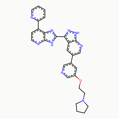 c1ccc(-c2ccnc3[nH]c(-c4n[nH]c5ncc(-c6cncc(OCCN7CCCC7)c6)cc45)nc23)nc1